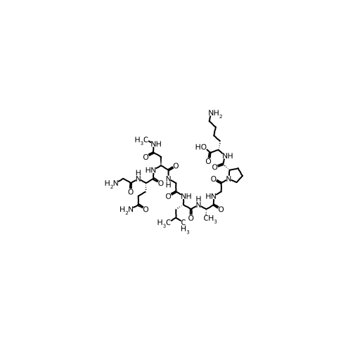 CNC(=O)C[C@H](NC(=O)[C@H](CCC(N)=O)NC(=O)CN)C(=O)NCC(=O)N[C@@H](CC(C)C)C(=O)N[C@@H](C)C(=O)NCC(=O)N1CCC[C@H]1C(=O)N[C@@H](CCCCN)C(=O)O